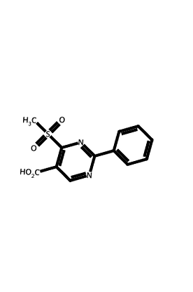 CS(=O)(=O)c1nc(-c2ccccc2)ncc1C(=O)O